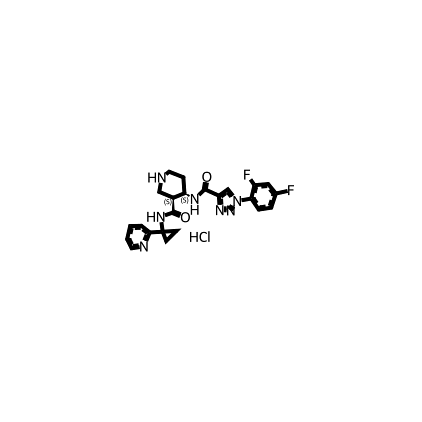 Cl.O=C(N[C@H]1CCNC[C@@H]1C(=O)NC1(c2ccccn2)CC1)c1cn(-c2ccc(F)cc2F)nn1